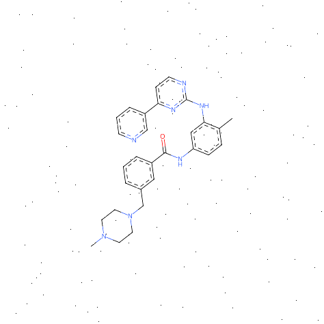 Cc1ccc(NC(=O)c2cccc(CN3CCN(C)CC3)c2)cc1Nc1nccc(-c2cccnc2)n1